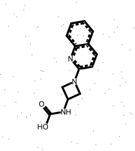 O=C(O)NC1CN(c2ccc3ccccc3n2)C1